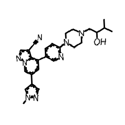 CC(C)C(O)CN1CCN(c2ccc(-c3cc(-c4cnn(C)c4)cn4ncc(C#N)c34)cn2)CC1